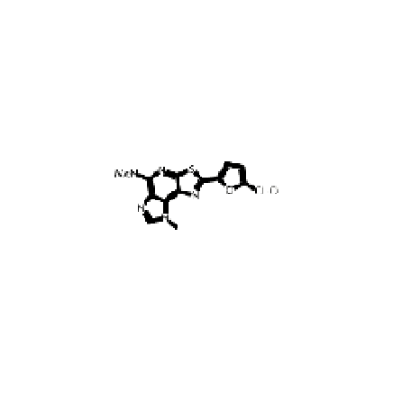 CNc1nc2sc(-c3ccc(C=O)o3)nc2c2c1ncn2C